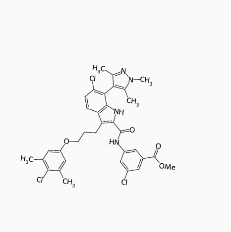 COC(=O)c1cc(Cl)cc(NC(=O)c2[nH]c3c(-c4c(C)nn(C)c4C)c(Cl)ccc3c2CCCOc2cc(C)c(Cl)c(C)c2)c1